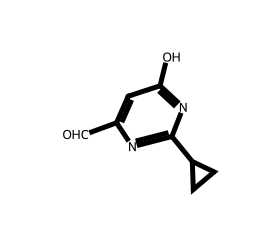 O=Cc1cc(O)nc(C2CC2)n1